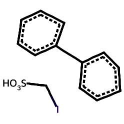 O=S(=O)(O)CI.c1ccc(-c2ccccc2)cc1